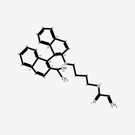 C=CC(=O)OCCCCOc1ccc2ccccc2c1-c1c(C(C)O)ccc2ccccc12